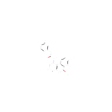 CN(C(=O)Nc1ccc(F)c(Cl)c1)C1CCCc2[nH]c(=O)c3c(F)c(F)ccc3c21